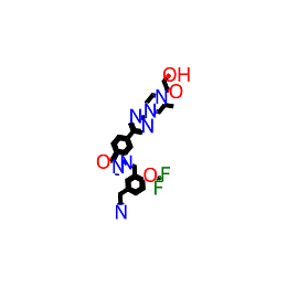 CC1CN(c2ncc(-c3ccc4c(=O)n(C)n(Cc5cc(CC#N)ccc5OC(F)F)c4c3)cn2)CCN1C(=O)CO